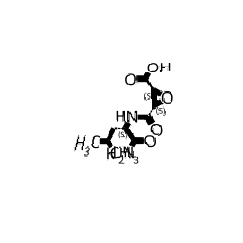 CC(C)C[C@H](NC(=O)[C@H]1O[C@@H]1C(=O)O)C(N)=O